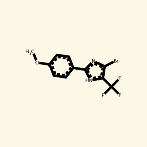 COc1ccc(-c2nc(Br)c(C(F)(F)F)[nH]2)cc1